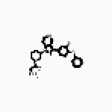 C=CC(=O)N1CCCC(n2nc(-c3ccc(Oc4ccccc4)c(F)c3)c3cnccc32)C1